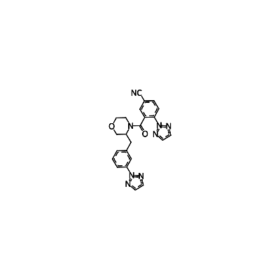 N#Cc1ccc(-n2nccn2)c(C(=O)N2CCOCC2Cc2cccc(-n3nccn3)c2)c1